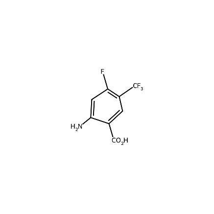 Nc1cc(F)c(C(F)(F)F)cc1C(=O)O